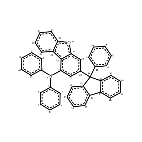 c1ccc(N(c2ccccc2)c2cc(C3(c4ccccc4)c4ccccc4-c4ccccc43)cc3oc4ccccc4c23)cc1